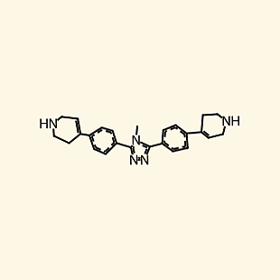 Cn1c(-c2ccc(C3=CCNCC3)cc2)nnc1-c1ccc(C2=CCNCC2)cc1